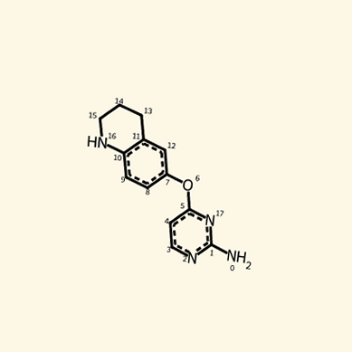 Nc1nccc(Oc2ccc3c(c2)CCCN3)n1